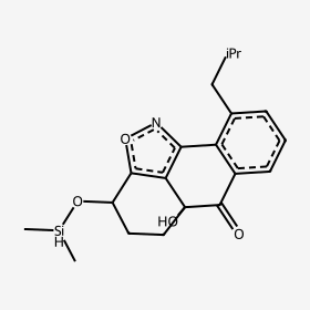 CC(C)Cc1cccc2c1-c1noc3c1C(O)(CCC3O[SiH](C)C)C2=O